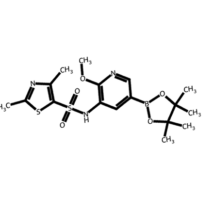 COc1ncc(B2OC(C)(C)C(C)(C)O2)cc1NS(=O)(=O)c1sc(C)nc1C